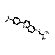 CCC(O)COc1ccc2nc(-c3ccc(N(C)C)cc3)ccc2c1